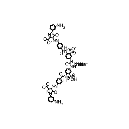 Nc1cccc(N2N=C(C(=O)[O-])C(N=Nc3ccc(C(=O)Nc4ccc(N=C([O-])Nc5ccc(NC(=O)c6ccc(N=NC7C(=O)N(c8cccc(N)c8)N=C7C(=O)[O-])cc6)c(S(=O)(=O)O)c5)cc4S(=O)(=O)[O-])cc3)C2=O)c1.[Na+].[Na+].[Na+].[Na+]